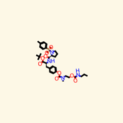 CCCNC(=O)OCCN(C)C(=O)Oc1ccc(C[C@H](NC(=O)[C@@H]2CCCN2S(=O)(=O)c2ccc(C)cc2)C(=O)OC(C)(C)C)cc1